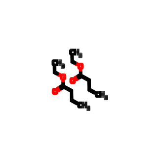 CCCC(=O)OCC.CCCC(=O)OCC